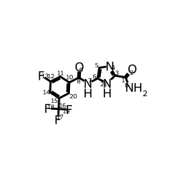 NC(=O)c1ncc(NC(=O)c2cc(F)cc(C(F)(F)F)c2)[nH]1